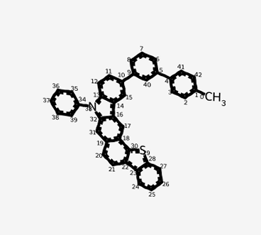 Cc1ccc(-c2cccc(-c3ccc4c(c3)c3cc5c(ccc6c7ccccc7sc56)cc3n4-c3ccccc3)c2)cc1